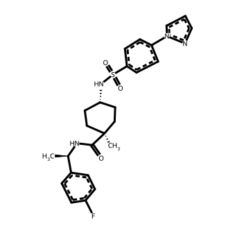 C[C@@H](NC(=O)[C@]1(C)CC[C@@H](NS(=O)(=O)c2ccc(-n3cccn3)cc2)CC1)c1ccc(F)cc1